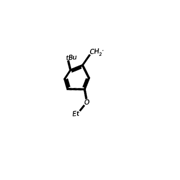 [CH2]c1cc(OCC)ccc1C(C)(C)C